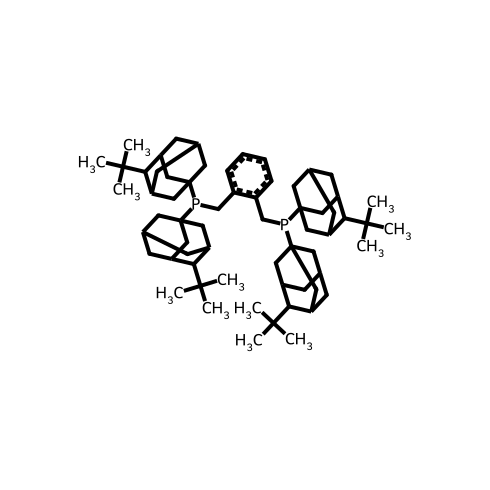 CC(C)(C)C1C2CC3CC1CC(P(Cc1ccccc1CP(C14CC5CC(C1)C(C(C)(C)C)C(C5)C4)C14CC5CC(C1)C(C(C)(C)C)C(C5)C4)C14CC5CC(C1)C(C(C)(C)C)C(C5)C4)(C3)C2